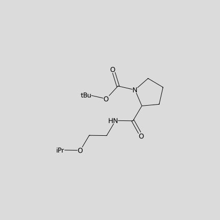 CC(C)OCCNC(=O)C1CCCN1C(=O)OC(C)(C)C